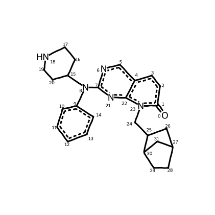 O=c1ccc2cnc(N(c3ccccc3)C3CCNCC3)nc2n1CC1CC2CCC1C2